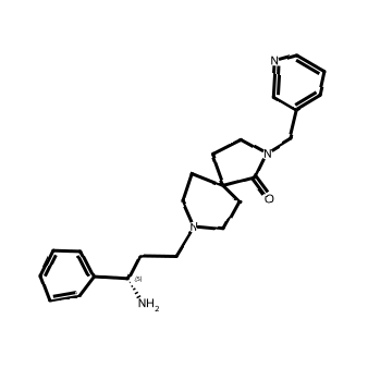 N[C@@H](CCN1CCC2(CC1)CCN(Cc1cccnc1)C2=O)c1ccccc1